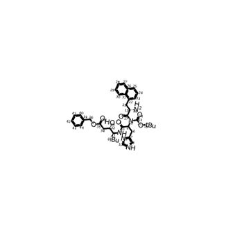 CCC(C)[C@H](NC(=O)C(Cc1c[nH]cn1)N(C(=O)OC(C)(C)C)C(=O)[C@@H](N)Cc1cccc2ccccc12)[C@@H](O)CC(=O)OCc1ccccc1